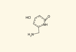 Cl.NCc1cccc(=O)[nH]1